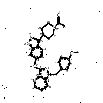 COc1ccc(Cn2nc(Nc3ccc4c(C5CCN(C(C)=O)CC5)nsc4c3)c3ncccc32)cc1